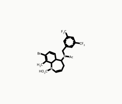 CC(=O)N(Cc1cc(C(F)(F)F)cc(C(F)(F)F)c1)C1CC=CN(C(=O)O)C2C(C)=C(Br)C=CC21